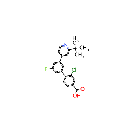 CC(C)(C)c1cc(-c2cc(F)cc(-c3ccc(C(=O)O)cc3Cl)c2)ccn1